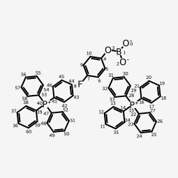 [O-]B([O-])Oc1ccc(F)cc1.c1ccc([P+](c2ccccc2)(c2ccccc2)c2ccccc2)cc1.c1ccc([P+](c2ccccc2)(c2ccccc2)c2ccccc2)cc1